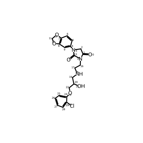 O=C1CN(c2ccc3c(c2)OCO3)C(=O)N1CCNCC(O)COc1ccccc1Cl